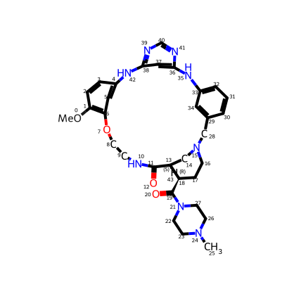 COc1ccc2cc1OCCNC(=O)[C@@H]1CN(CC[C@H]1C(=O)N1CCN(C)CC1)Cc1cccc(c1)Nc1cc(ncn1)N2